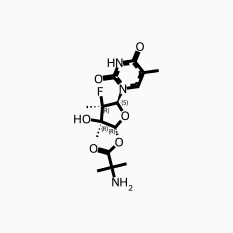 Cc1cn([C@H]2O[C@H](OC(=O)C(C)(C)N)[C@@](C)(O)[C@@]2(C)F)c(=O)[nH]c1=O